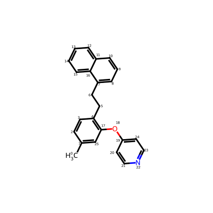 Cc1ccc(CCc2cccc3ccccc23)c(Oc2ccncc2)c1